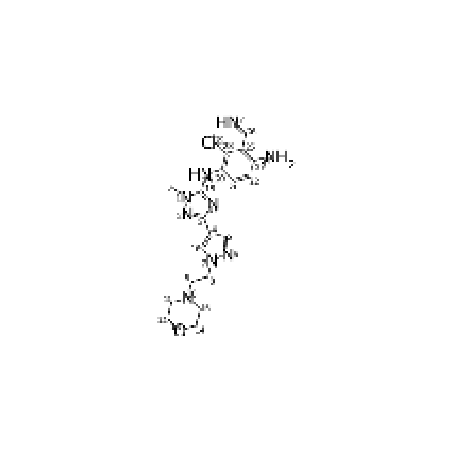 Cn1nc(-c2cnn(CCN3CCOCC3)c2)nc1Nc1ccc(N)c(C=N)c1Cl